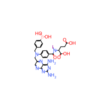 Nc1nc(N)c2nc(CN(Cc3ccc(B(O)O)cc3)c3ccc(C(=O)N(I)C(CCC(=O)O)C(=O)O)cc3)cnc2n1